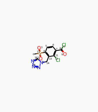 CS(=O)(=O)c1ccc(C(=O)Cl)c(Cl)c1Cn1cnnn1